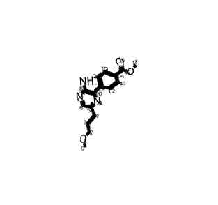 COCC=Cc1cnc(N)c(-c2ccc(C(=O)OC)cc2)n1